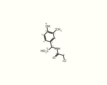 Cc1cc(C(NC(=O)CCl)C(=O)O)ccc1O